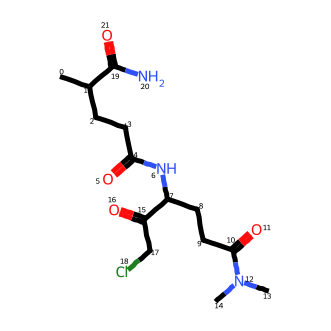 CC(C[CH]C(=O)NC(CCC(=O)N(C)C)C(=O)CCl)C(N)=O